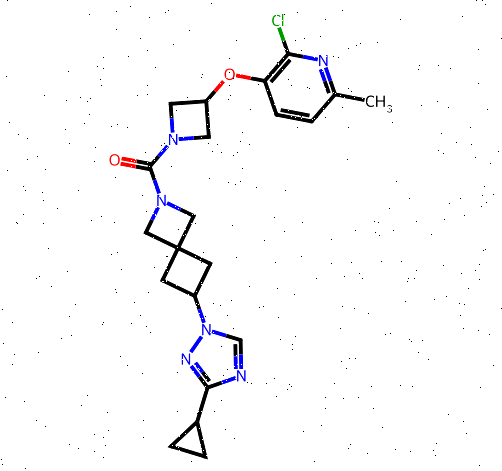 Cc1ccc(OC2CN(C(=O)N3CC4(CC(n5cnc(C6CC6)n5)C4)C3)C2)c(Cl)n1